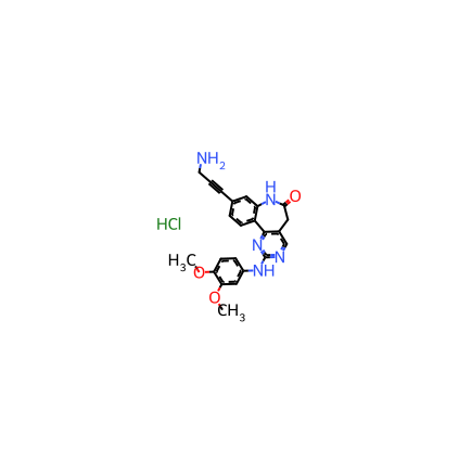 COc1ccc(Nc2ncc3c(n2)-c2ccc(C#CCN)cc2NC(=O)C3)cc1OC.Cl